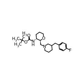 CC(C)(C)OC(=O)N[C@@H]1CCCO[C@H]1CN1CCCC(Cc2ccc(F)cc2)C1